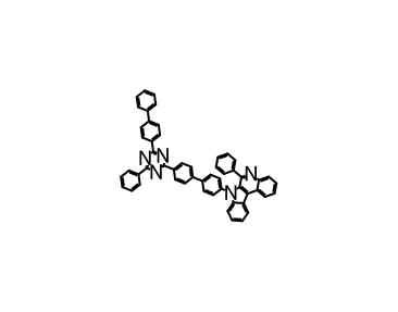 c1ccc(-c2ccc(-c3nc(-c4ccccc4)nc(-c4ccc(-c5ccc(-n6c7ccccc7c7c8ccccc8nc(-c8ccccc8)c76)cc5)cc4)n3)cc2)cc1